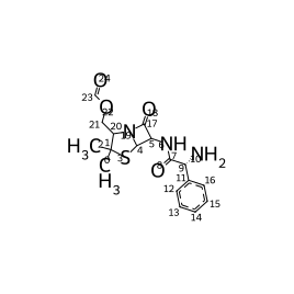 CC1(C)SC2C(NC(=O)[C@H](N)c3ccccc3)C(=O)N2C1COC=O